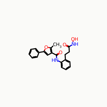 Cc1oc(-c2ccccc2)cc1C(=O)Nc1ccccc1CCC(=O)NO